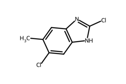 Cc1cc2nc(Cl)[nH]c2cc1Cl